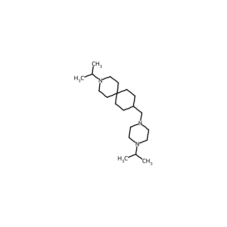 CC(C)N1CCN(CC2CCC3(CC2)CCN(C(C)C)CC3)CC1